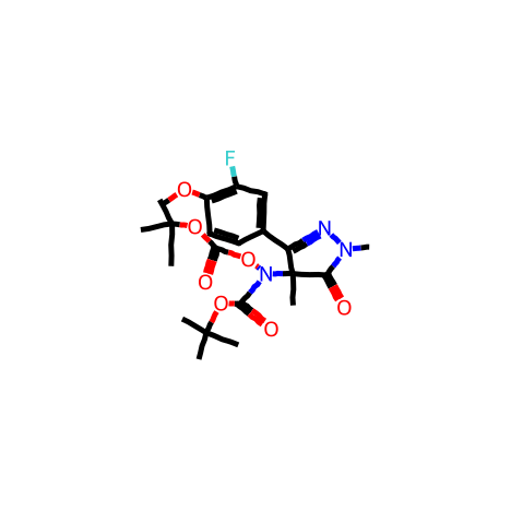 COc1ccc(C2=NN(C)C(=O)C2(C)N(OC(=O)OC(C)(C)C)C(=O)OC(C)(C)C)cc1F